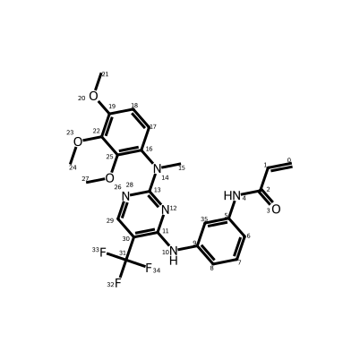 C=CC(=O)Nc1cccc(Nc2nc(N(C)c3ccc(OC)c(OC)c3OC)ncc2C(F)(F)F)c1